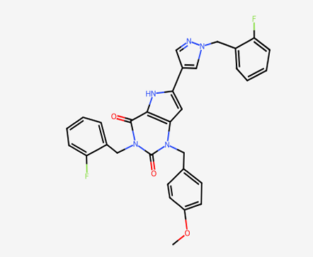 COc1ccc(Cn2c(=O)n(Cc3ccccc3F)c(=O)c3[nH]c(-c4cnn(Cc5ccccc5F)c4)cc32)cc1